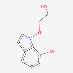 OCCOn1ccc2cccc(O)c21